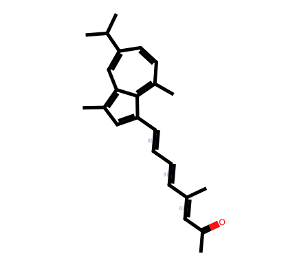 CC(=O)/C=C(C)/C=C/C=C/c1cc(C)c2cc(C(C)C)ccc(C)c1-2